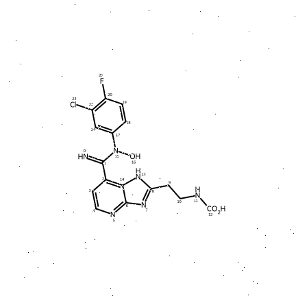 N=C(c1ccnc2nc(CCNC(=O)O)[nH]c12)N(O)c1ccc(F)c(Cl)c1